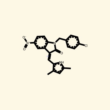 Cc1cc(C)c(/C=C2\C(=O)N(Cc3ccc(Cl)cc3)c3ccc([N+](=O)[O-])cc32)[nH]1